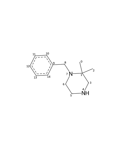 CC1(C)CNCCN1Cc1ccccc1